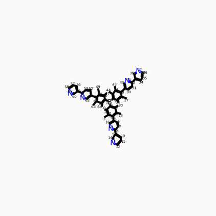 Cc1c(C)c(-c2ccc(-c3cccnc3)nc2)c(C)c(C)c1B(c1c(C)c(C)c(-c2ccc(-c3cccnc3)nc2)c(C)c1C)c1c(C)c(C)c(-c2ccc(-c3cccnc3)nc2)c(C)c1C